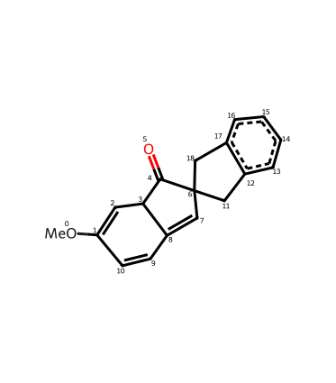 COC1=CC2C(=O)C3(C=C2C=C1)Cc1ccccc1C3